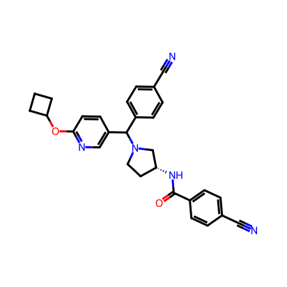 N#Cc1ccc(C(=O)N[C@@H]2CCN(C(c3ccc(C#N)cc3)c3ccc(OC4CCC4)nc3)C2)cc1